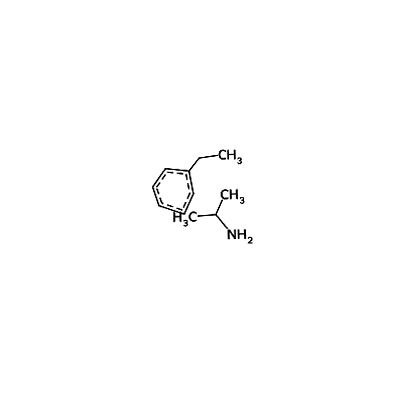 CC(C)N.CCc1ccccc1